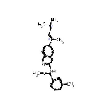 C=C=C(Nc1cc2cc(/C(C)=C/C=C(\C)N)ccc2cn1)c1cccc(C)c1